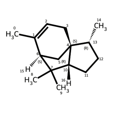 CC1=CC[C@]23C[C@H]1C(C)(C)[C@H]2CC[C@H]3C